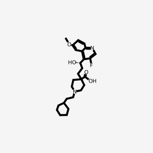 COc1ccc2ncc(F)c([C@@H](O)CCC3(C(=O)O)CCN(CCC4CCCCC4)CC3)c2c1